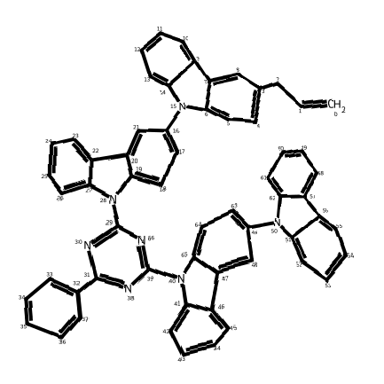 C=CCc1ccc2c(c1)c1ccccc1n2-c1ccc2c(c1)c1ccccc1n2-c1nc(-c2ccccc2)nc(-n2c3ccccc3c3cc(-n4c5ccccc5c5ccccc54)ccc32)n1